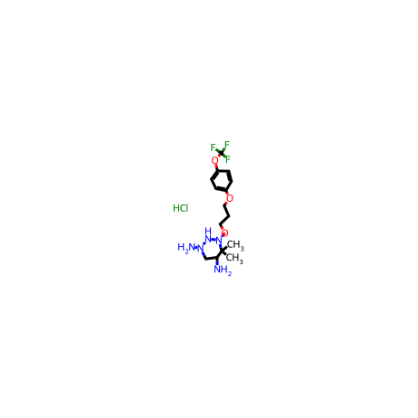 CC1(C)C(N)CN(N)NN1OCCCOc1ccc(OC(F)(F)F)cc1.Cl